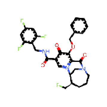 O=C(NCc1c(F)cc(F)cc1F)c1cn2c(c(OCc3ccccc3)c1=O)C(=O)N1CCC[C@@H](CF)C2C1